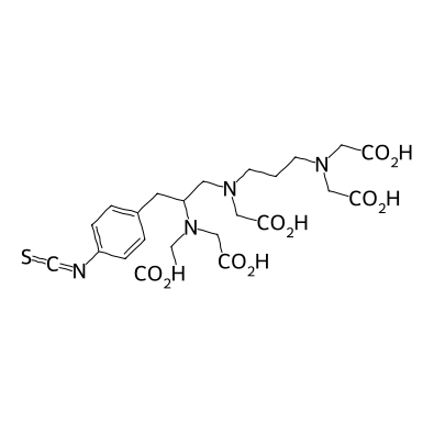 O=C(O)CN(CCCN(CC(=O)O)CC(Cc1ccc(N=C=S)cc1)N(CC(=O)O)CC(=O)O)CC(=O)O